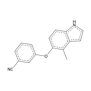 Cc1c(Oc2cccc(C#N)c2)ccc2[nH]ccc12